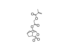 C=C(C)C(=O)OCC(=O)OC1=C2OS(=O)(=O)C3CC1CC23